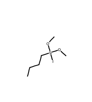 CCCC[Si](I)(OC)OC